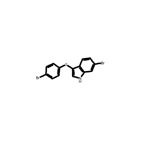 Brc1ccc(Sc2c[nH]c3cc(Br)ccc23)cc1